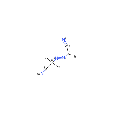 CC(C#N)/N=N/C(C)(C)C#N